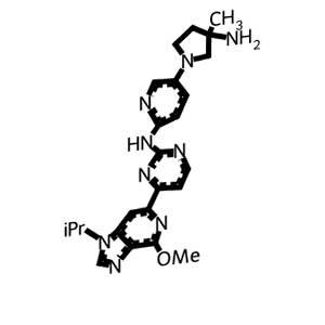 COc1nc(-c2ccnc(Nc3ccc(N4CCC(C)(N)C4)cn3)n2)cc2c1ncn2C(C)C